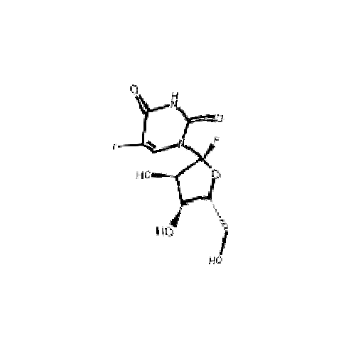 O=c1[nH]c(=O)n([C@]2(F)O[C@H](CO)[C@@H](O)[C@H]2O)cc1F